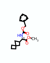 COC(=O)[C@@H](NC(=O)OCc1ccccc1)C1CC2(CCC2)C1